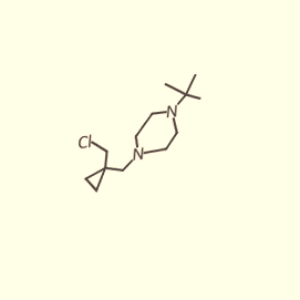 CC(C)(C)N1CCN(CC2(CCl)CC2)CC1